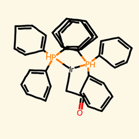 O=C[CH2][Ir]([PH](c1ccccc1)(c1ccccc1)c1ccccc1)[PH](c1ccccc1)(c1ccccc1)c1ccccc1